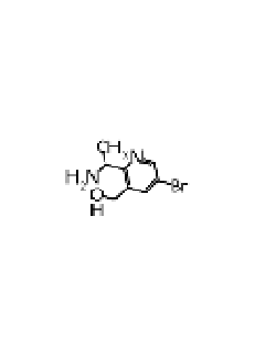 C[C@H](N)c1ncc(Br)cc1CO